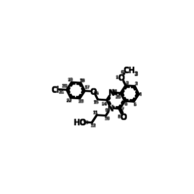 COc1cccc2c(=O)n(CCCO)c(COc3ccc(Cl)cc3)nc12